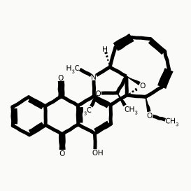 CO[C@H](C)[C@@]12O[C@]13c1cc(O)c4c(c1N(C)[C@H]2C#C/C=C\C#C[C@H]3OC)C(=O)c1ccccc1C4=O